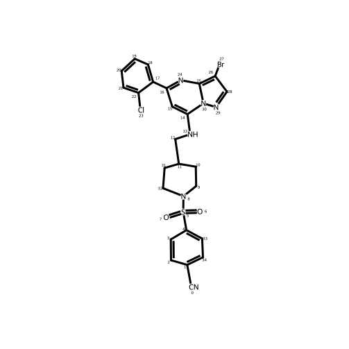 N#Cc1ccc(S(=O)(=O)N2CCC(CNc3cc(-c4ccccc4Cl)nc4c(Br)cnn34)CC2)cc1